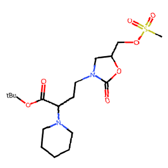 CC(C)(C)OC(=O)C(CCN1CC(COS(C)(=O)=O)OC1=O)N1CCCCC1